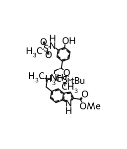 COC(=O)c1cc2cc(C[C@@H](C)NC[C@H](O[Si](C)(C)C(C)(C)C)c3ccc(O)c(NS(C)(=O)=O)c3)ccc2[nH]1